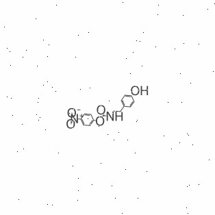 O=C(NCCc1ccc(O)cc1)Oc1ccc([N+](=O)[O-])cc1